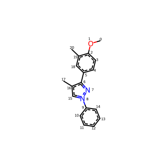 COc1ccc(-c2nn(-c3ccccc3)cc2C)cc1C